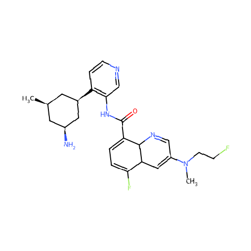 C[C@@H]1C[C@H](N)C[C@H](c2ccncc2NC(=O)C2=CC=C(F)C3C=C(N(C)CCF)C=NC23)C1